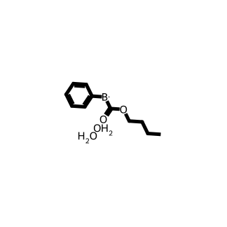 CCCCOC(=O)[B]c1ccccc1.O.O